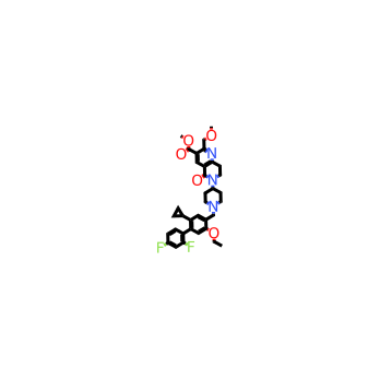 CCOc1cc(-c2ccc(F)cc2F)c(C2CC2)cc1CN1CCC(N2CCc3nc(COC)c(C(=O)OC)cc3C2=O)CC1